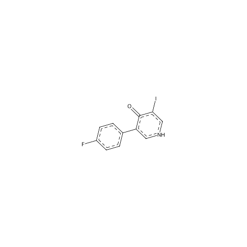 O=c1c(I)c[nH]cc1-c1ccc(F)cc1